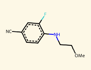 COCCNc1ccc(C#N)cc1F